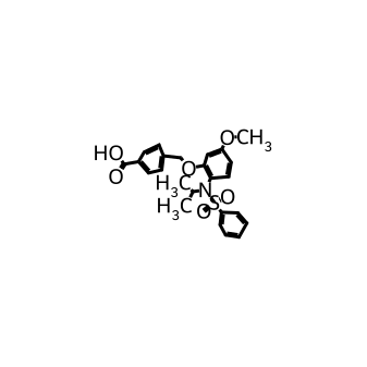 COc1ccc(N(C(C)C)S(=O)(=O)c2ccccc2)c(OCc2ccc(C(=O)O)cc2)c1